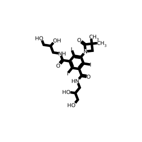 CC1(C)CN(c2c(I)c(C(=O)NCC(O)CO)c(I)c(C(=O)NCC(O)CO)c2I)C1=O